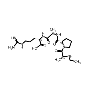 CCN[C@@H](C)C(=O)N1CCC[C@H]1C(=O)N[C@@H](C)C(=O)N[C@@H](CCCNC(=N)N)C(=O)O